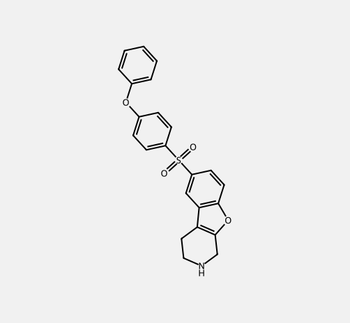 O=S(=O)(c1ccc(Oc2ccccc2)cc1)c1ccc2oc3c(c2c1)CCNC3